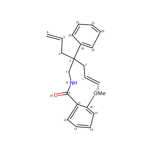 C=CCC(CC=C)(CNC(=O)c1ccccc1OC)c1ccccc1